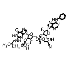 CC(C)CNc1nc2c(ncn2[C@@H]2O[C@H](COP(=S)(OCCC#N)O[C@H]3[C@H](F)[C@H](n4cnc5c(Nc6ccccc6)ncnc54)O[C@@H]3CO)[C@@H](F)[C@H]2O[PH](=O)O)c(=O)[nH]1